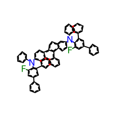 Fc1cc(-c2ccccc2)cc(-c2ccccc2)c1N(c1ccccc1)c1ccc2c(ccc3c4ccc(N(c5ccccc5)c5c(F)cc(-c6ccccc6)cc5-c5ccccc5)cc4c4ccccc4c23)c1